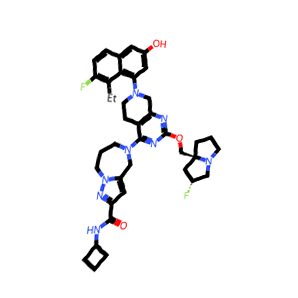 CCc1c(F)ccc2cc(O)cc(N3CCc4c(nc(OC[C@@]56CCCN5C[C@H](F)C6)nc4N4CCCn5nc(C(=O)NC6CCC6)cc5C4)C3)c12